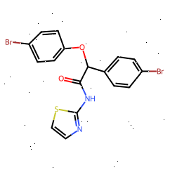 O=C(Nc1nccs1)C(Oc1ccc(Br)cc1)c1ccc(Br)cc1